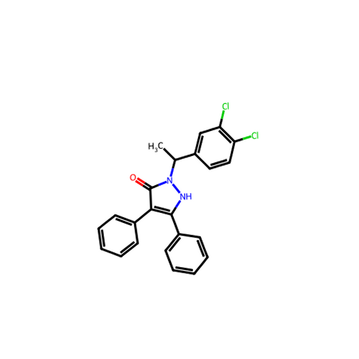 CC(c1ccc(Cl)c(Cl)c1)n1[nH]c(-c2ccccc2)c(-c2ccccc2)c1=O